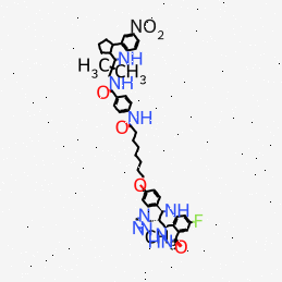 Cn1ncnc1[C@H]1c2n[nH]c(=O)c3cc(F)cc(c23)N[C@@H]1c1ccc(OCCCCCCCC(=O)Nc2ccc(C(=O)NCC(C)(C)C3Nc4ccc([N+](=O)[O-])cc4C4CCCC43)cc2)cc1